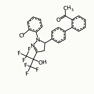 CC(=O)c1ccccc1-c1ccc(C2CC(C(O)(C(F)(F)F)C(F)(F)F)=NN2c2ccccc2Cl)cc1